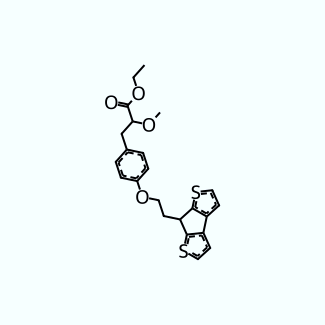 CCOC(=O)C(Cc1ccc(OCCC2c3sccc3-c3ccsc32)cc1)OC